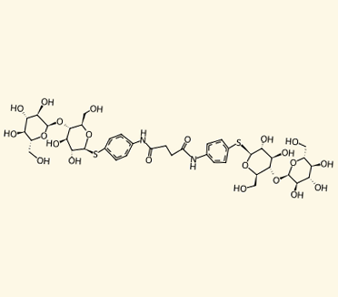 O=C(CCC(=O)Nc1ccc(S[C@@H]2O[C@H](CO)[C@@H](O[C@H]3O[C@H](CO)[C@@H](O)[C@H](O)[C@H]3O)[C@H](O)[C@H]2O)cc1)Nc1ccc(S[C@@H]2O[C@H](CO)[C@@H](O[C@H]3O[C@H](CO)[C@@H](O)[C@H](O)[C@H]3O)[C@H](O)[C@H]2O)cc1